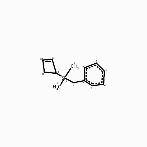 C[Si](C)(Cc1ccccc1)C1C=CC1